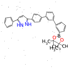 CC1(C)OB(c2cccc(-c3cccc(-c4ccc(C(=N)/C=C\C(=N)c5ccccc5)cc4)c3)c2)OC1(C)C